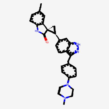 Cc1ccc2c(c1)[C@]1(C[C@H]1c1ccc3c(-c4ccc(N5CCN(C)CC5)cc4)n[nH]c3c1)C(=O)N2